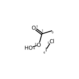 CC(=O)OO.ClI